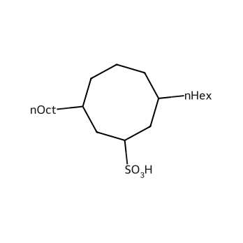 CCCCCCCCC1CCCC(CCCCCC)CC(S(=O)(=O)O)C1